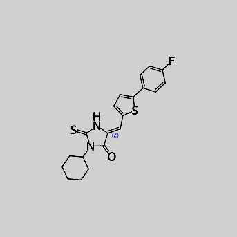 O=C1/C(=C/c2ccc(-c3ccc(F)cc3)s2)NC(=S)N1C1CCCCC1